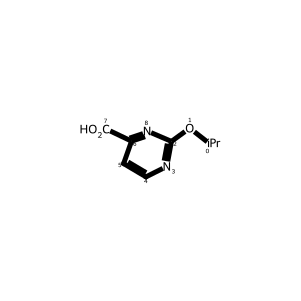 CC(C)Oc1nccc(C(=O)O)n1